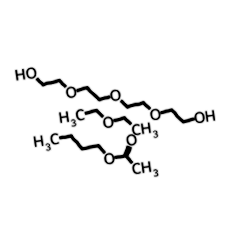 CCCCOC(C)=O.CCOCC.OCCOCCOCCOCCO